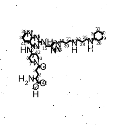 N[C@@H](CCC(=O)N1CCC(Nc2nc(NCc3cn(CCCNCCCNC4CCCCC4)nn3)nc3ncccc23)CC1)C(=O)O